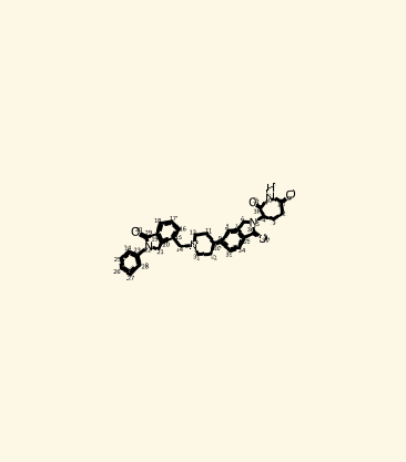 O=C1CCC(N2Cc3cc(C4CCN(Cc5cccc6c5CN(c5ccccc5)C6=O)CC4)ccc3C2=O)C(=O)N1